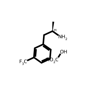 C[C@@H](N)Cc1cccc(C(F)(F)F)c1.O=C(O)O